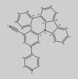 N#Cc1cc(-c2ccncc2)cc(-n2c3ccccc3c3cccc(-c4ccccc4)c32)c1